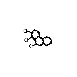 Clc1[c]cc2c(c(Cl)cc3c[c]ccc32)c1Cl